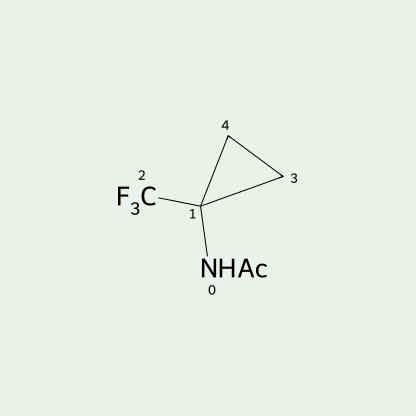 CC(=O)NC1(C(F)(F)F)CC1